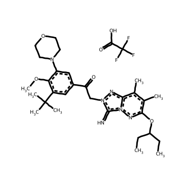 CCC(CC)Oc1nn2c(=N)n(CC(=O)c3cc(N4CCOCC4)c(OC)c(C(C)(C)C)c3)nc2c(C)c1C.O=C(O)C(F)(F)F